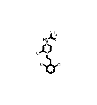 NC(=S)NN1C=CN(CCc2c(Cl)cccc2Cl)C(Cl)=C1